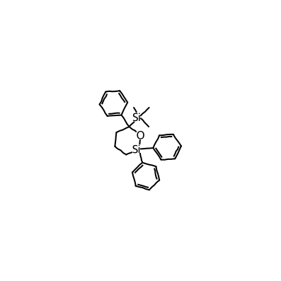 C[Si](C)(C)C1(c2ccccc2)CCC[Si](c2ccccc2)(c2ccccc2)O1